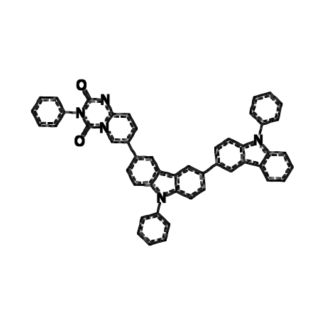 O=c1nc2ccc(-c3ccc4c(c3)c3cc(-c5ccc6c(c5)c5ccccc5n6-c5ccccc5)ccc3n4-c3ccccc3)cn2c(=O)n1-c1ccccc1